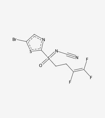 N#CN=S(=O)(CCC(F)=C(F)F)c1ncc(Br)s1